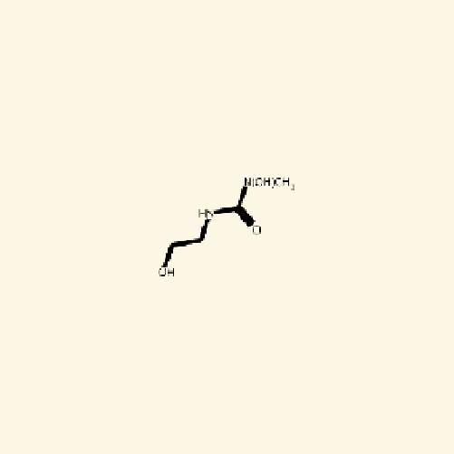 CN(O)C(=O)NCCO